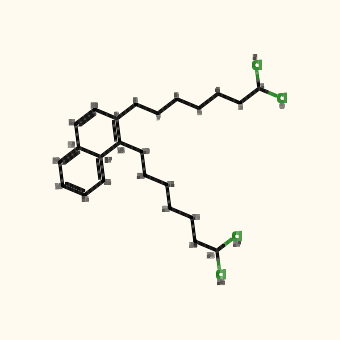 ClC(Cl)CCCCCCc1ccc2ccccc2c1CCCCCCC(Cl)Cl